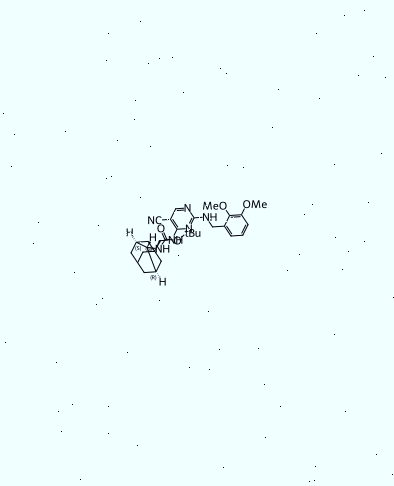 COc1cccc(CNc2ncc(C#N)c(NC[C@]34CC5C[C@H](C3)[C@@H](NC(=O)OC(C)(C)C)[C@@H](C5)C4)n2)c1OC